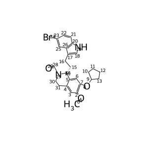 COc1cc2c(cc1OC1CCCC1)[C@@H](CCc1c[nH]c3ccc(Br)cc13)N(C=O)CC2